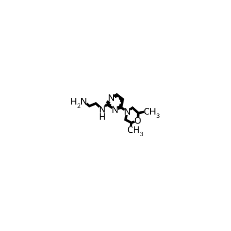 CC1CN(c2ccnc(NCCN)n2)CC(C)O1